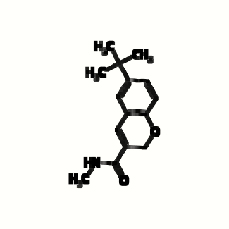 CNC(=O)C1=Cc2cc(C(C)(C)C)ccc2OC1